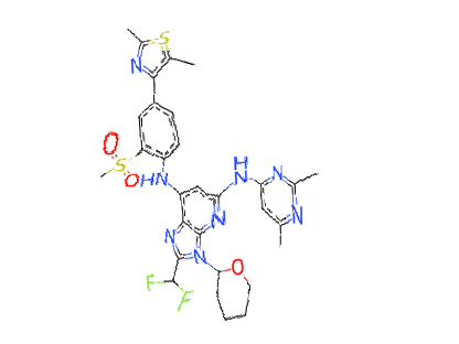 Cc1cc(Nc2cc(Nc3ccc(-c4nc(C)sc4C)cc3S(C)(=O)=O)c3nc(C(F)F)n(C4CCCCO4)c3n2)nc(C)n1